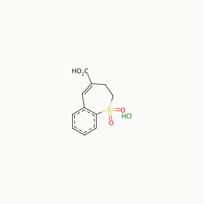 Cl.O=C(O)C1=Cc2ccccc2S(=O)(=O)CC1